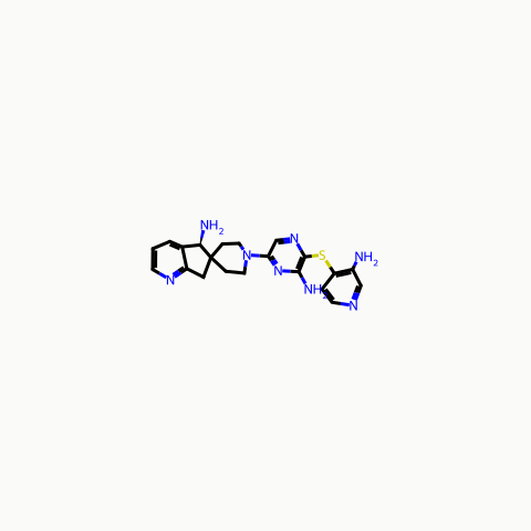 Nc1cnccc1Sc1ncc(N2CCC3(CC2)Cc2ncccc2[C@H]3N)nc1N